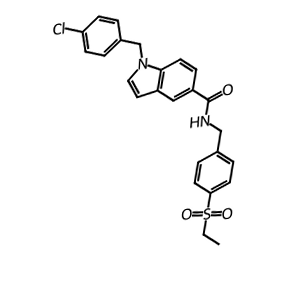 CCS(=O)(=O)c1ccc(CNC(=O)c2ccc3c(ccn3Cc3ccc(Cl)cc3)c2)cc1